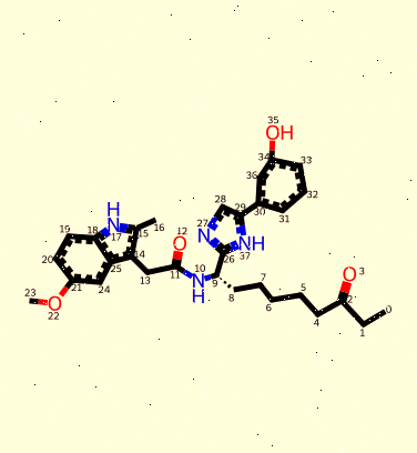 CCC(=O)CCCCC[C@H](NC(=O)Cc1c(C)[nH]c2ccc(OC)cc12)c1ncc(-c2cccc(O)c2)[nH]1